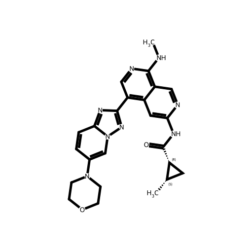 CNc1ncc(-c2nc3ccc(N4CCOCC4)cn3n2)c2cc(NC(=O)[C@@H]3C[C@@H]3C)ncc12